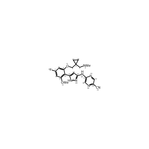 CNCC1(COc2cc(F)cc(OC)c2-c2cc(Nc3cnc(C#N)cn3)n[nH]2)CC1